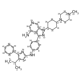 CC(C)c1sc(Nc2ccc(-c3nn(C4CCC(N5CCN(C)CC5)CC4)c4cncc(N)c34)cc2)nc1-c1ccccc1